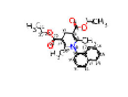 CCOC(=O)C1=C(C)N(c2cccc3ccccc23)C(C)=C(C(=O)OCC)C1